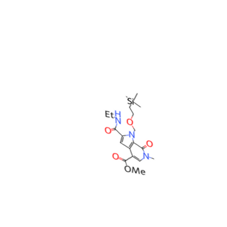 CCNC(=O)c1cc2c(C(=O)OC)cn(C)c(=O)c2n1COCC[Si](C)(C)C